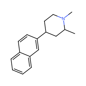 CC1CC(c2ccc3ccccc3c2)CCN1C